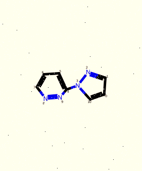 [c]1cnn(-c2cccnn2)c1